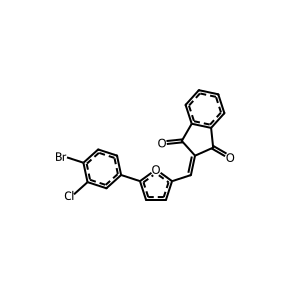 O=C1C(=Cc2ccc(-c3ccc(Br)c(Cl)c3)o2)C(=O)c2ccccc21